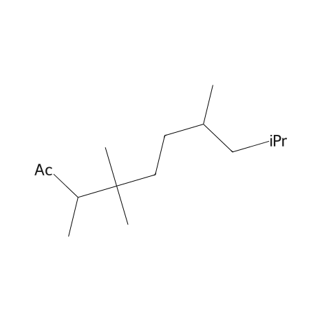 CC(=O)C(C)C(C)(C)CCC(C)CC(C)C